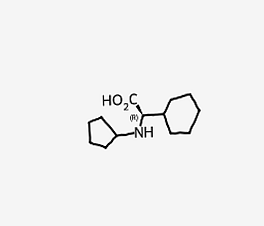 O=C(O)[C@H](NC1CCCC1)C1CCCCC1